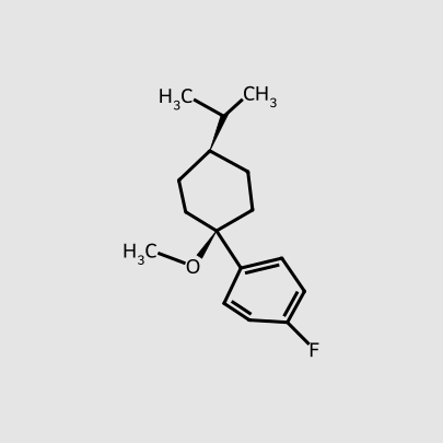 CO[C@]1(c2ccc(F)cc2)CC[C@H](C(C)C)CC1